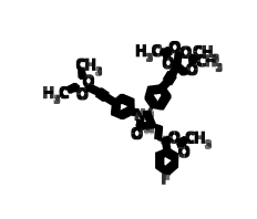 CCOC(C#Cc1ccc(N2C(=O)[C@H](CC[C@H](OC(C)=O)c3ccc(F)cc3)[C@H]2c2ccc(C#CC3(OC(C)=O)COC(C)(C)OC3)cc2)cc1)OCC